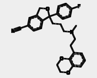 CN(CCCC1(c2ccc(F)cc2)OCc2cc(C#N)ccc21)CCc1cccc2c1OCCO2